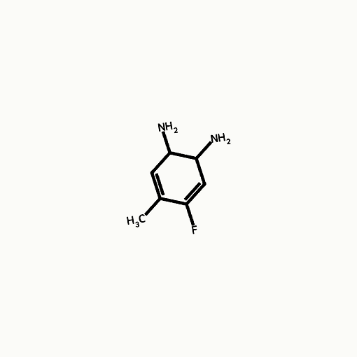 CC1=CC(N)C(N)C=C1F